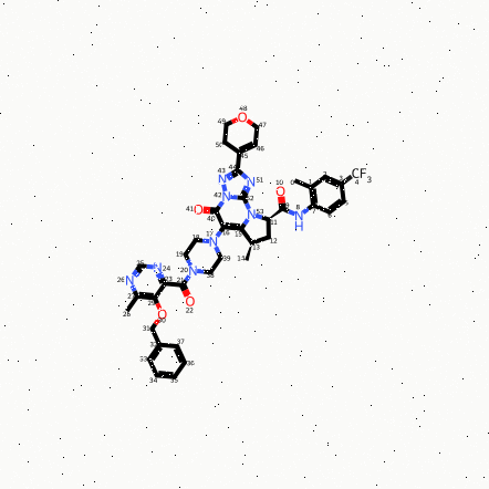 Cc1cc(C(F)(F)F)ccc1NC(=O)[C@H]1C[C@@H](C)c2c(N3CCN(C(=O)c4ncnc(C)c4OCc4ccccc4)CC3)c(=O)n3nc(C4=CCOCC4)nc3n21